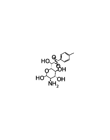 Cc1ccc(S(=O)(=O)C(O)[C@H]2OC(O)[C@H](N)[C@@H](O)[C@@H]2O)cc1